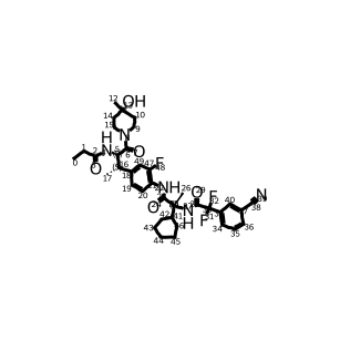 CCC(=O)N[C@@H](C(=O)N1CCC(C)(O)CC1)[C@@H](C)c1ccc(NC(=O)[C@](C)(NC(=O)C(F)(F)c2cccc(C#N)c2)C2CCCCC2)c(F)c1